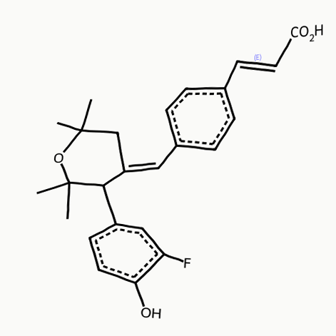 CC1(C)CC(=Cc2ccc(/C=C/C(=O)O)cc2)C(c2ccc(O)c(F)c2)C(C)(C)O1